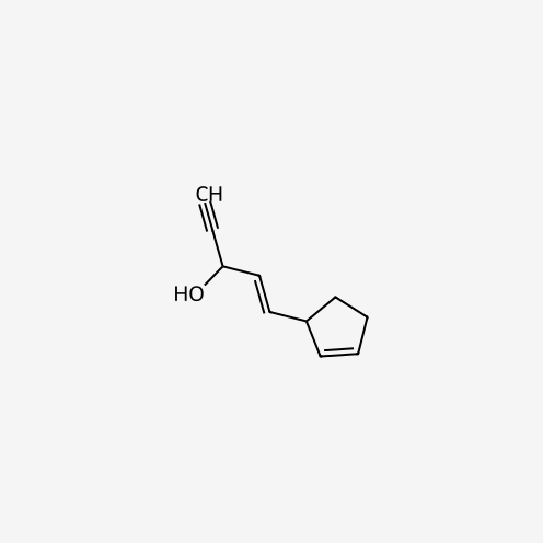 C#CC(O)C=CC1C=CCC1